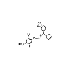 O=C(O)c1cc(C2CC2)c(OCC2CN(C(c3ccccc3)c3cccc(OC(F)(F)F)c3)C2)cc1F